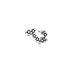 CS(=O)(=O)c1cccc(CNc2nc(Nc3ccc(N4CCN(Cc5ccccc5N5CCC(=O)NC5=O)CC4)cc3)ncc2C(F)(F)F)c1